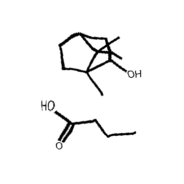 CC1(C)C2CCC1(C)C(O)C2.CCCC(=O)O